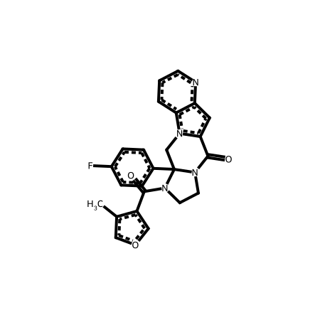 Cc1cocc1C(=O)N1CCN2C(=O)c3cc4ncccc4n3CC12c1ccc(F)cc1